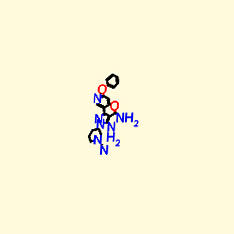 N#CN1CCCC(n2nc(-c3ccc(Oc4ccccc4)nc3)c(C(N)=O)c2N)C1